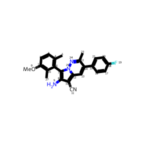 COc1ccc(C)c(-c2c(N)c(C#N)c3cc(-c4ccc(F)cc4)c(C)nn23)c1C